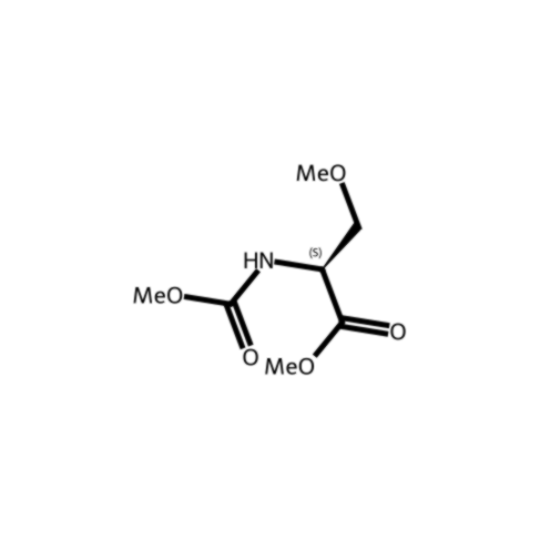 COC[C@H](NC(=O)OC)C(=O)OC